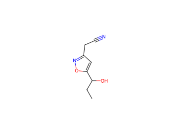 CCC(O)c1cc(CC#N)no1